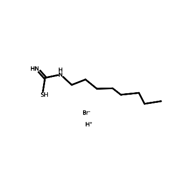 CCCCCCCCNC(=N)S.[Br-].[H+]